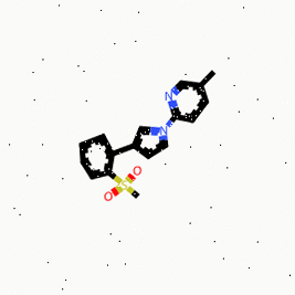 Cc1ccc(-n2ccc(-c3ccccc3S(C)(=O)=O)c2)nc1